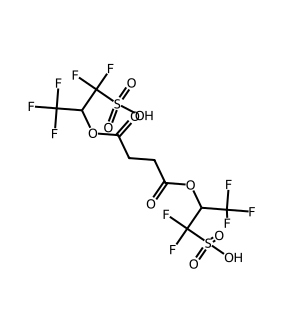 O=C(CCC(=O)OC(C(F)(F)F)C(F)(F)S(=O)(=O)O)OC(C(F)(F)F)C(F)(F)S(=O)(=O)O